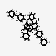 c1ccc(-c2ccc(-c3cc4oc5cccc(N(c6ccc(-c7ccccc7)cc6)c6ccc7c(c6)sc6ccccc67)c5c4c4ccccc34)cc2)cc1